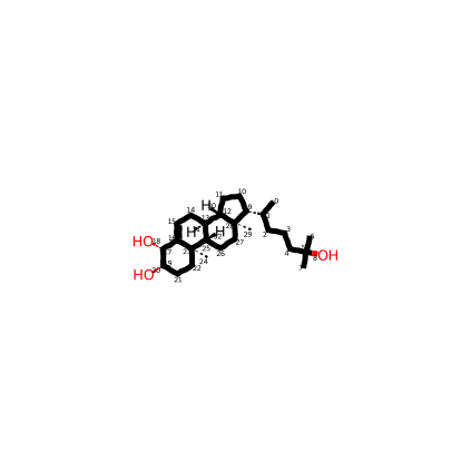 CC(CCCC(C)(C)O)[C@H]1CC[C@H]2[C@@H]3CC=C4[C@@H](O)[C@@H](O)CC[C@]4(C)[C@H]3CC[C@]12C